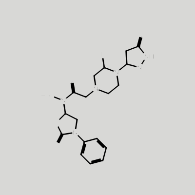 CN(C(=O)CN1CCN(C2CC(=O)NN2)C(F)C1)C1CN(c2ccccc2)C(=O)O1